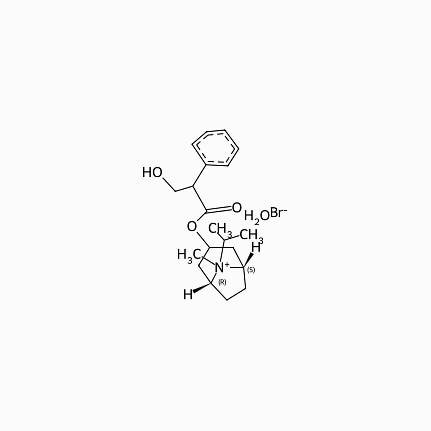 CC(C)[N+]1(C)[C@@H]2CC[C@H]1CC(OC(=O)C(CO)c1ccccc1)C2.O.[Br-]